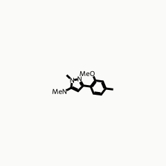 CNc1cc(-c2ccc(C)cc2OC)nn1C